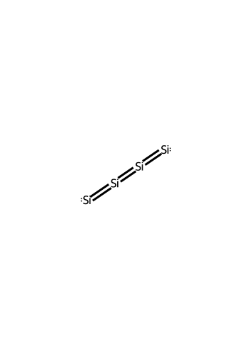 [Si]=[Si]=[Si]=[Si]